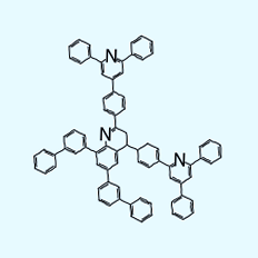 C1=CC(C2CC(c3ccc(-c4cc(-c5ccccc5)nc(-c5ccccc5)c4)cc3)=Nc3c(-c4cccc(-c5ccccc5)c4)cc(-c4cccc(-c5ccccc5)c4)cc32)CC=C1c1cc(-c2ccccc2)cc(-c2ccccc2)n1